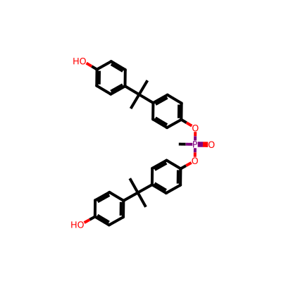 CC(C)(c1ccc(O)cc1)c1ccc(OP(C)(=O)Oc2ccc(C(C)(C)c3ccc(O)cc3)cc2)cc1